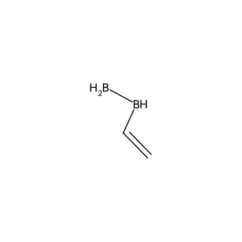 BBC=C